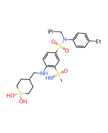 CCc1ccc(N(CC(C)C)S(=O)(=O)c2ccc(NCC3CCS(O)(O)CC3)c(S(C)(=N)=O)c2)cc1